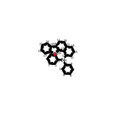 c1ccc(N(c2ccccc2)c2cccc3ccc4c5ccccc5oc4c23)cc1